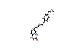 CCc1ccc(C/C=C/Cc2ccc3c(c2)NC(=O)CC3)cc1